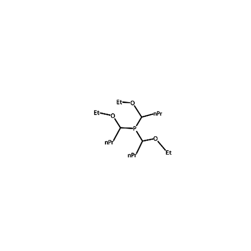 CCCC(OCC)P(C(CCC)OCC)C(CCC)OCC